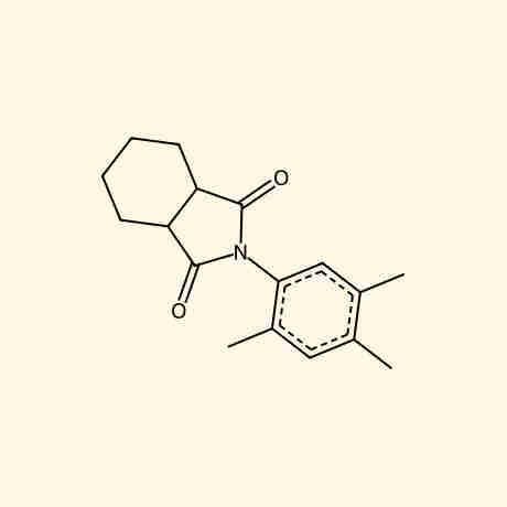 Cc1cc(C)c(N2C(=O)C3CCCCC3C2=O)cc1C